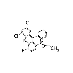 CCOC(=O)c1ccc(F)c2nc3c(Cl)cc(Cl)cc3c(-c3ccccc3)c12